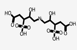 O=C(O)CC(C(O)C[N]CC(O)C(CC(=O)O)S(=O)(=O)O)S(=O)(=O)O